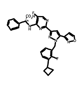 O=C(O)[C@H](Nc1nc(-c2cc(-c3ccon3)n(Cc3cccc(C4CCC4)c3F)n2)ncc1F)c1ccccc1